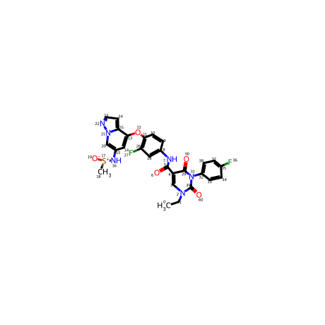 CCn1cc(C(=O)Nc2ccc(Oc3cc(N[S+](C)[O-])cn4nccc34)c(F)c2)c(=O)n(-c2ccc(F)cc2)c1=O